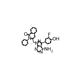 C[C@H](c1cc2ccccc2c(=O)n1-c1ccccc1)n1nc(-c2ccc(O)c(F)c2)c2c(N)ncnc21